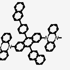 CN1c2ccccc2N(c2ccc3c(-c4ccc5ccccc5c4)c4cc(N5c6ccccc6N(C)c6ccccc65)ccc4c(-c4ccc(-c5ccc6ccccc6c5)cc4)c3c2)c2ccccc21